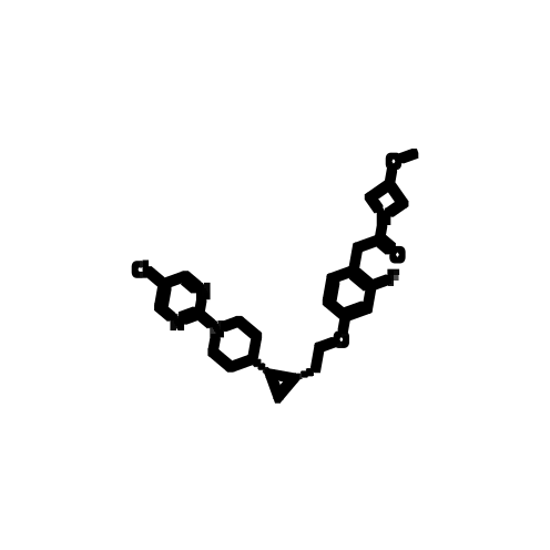 COC1CN(C(=O)Cc2ccc(OCC[C@@H]3C[C@@H]3C3CCN(c4ncc(Cl)cn4)CC3)cc2F)C1